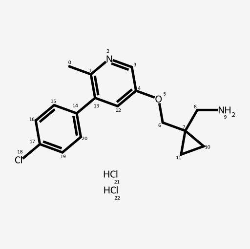 Cc1ncc(OCC2(CN)CC2)cc1-c1ccc(Cl)cc1.Cl.Cl